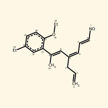 C=CCC(=C/C=C/N=O)/C=C(\C)c1cc(CC)ccc1OCC